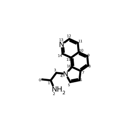 CC(N)Cn1ccc2ccc3ccncc3c21